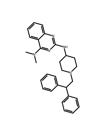 CN(C)c1nc(NC2CCN(CC(c3ccccc3)c3ccccc3)CC2)nc2ccccc12